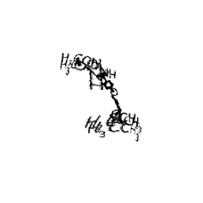 CC(C)(C)OC(=O)NC(=N)c1ccc(OCC#CCO[Si](C)(C)C(C)(C)C)cc1